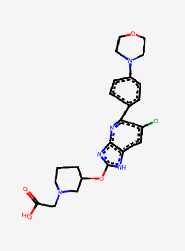 O=C(O)CN1CCCC(Oc2nc3nc(-c4ccc(N5CCOCC5)cc4)c(Cl)cc3[nH]2)C1